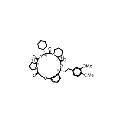 COc1ccc(CC[C@H]2OC(=O)[C@@H]3CCCCN3C(=O)[C@@H](C3CCCCC3)NC(=O)[C@@H]3CCCN3C(=O)COc3cccc2c3)cc1OC